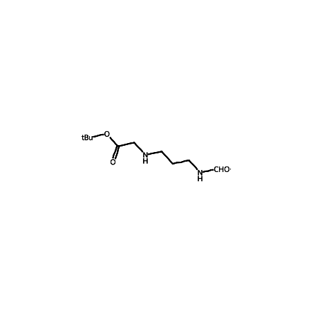 CC(C)(C)OC(=O)CNCCCN[C]=O